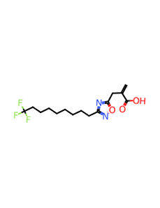 C=C(Cc1nc(CCCCCCCCC(F)(F)F)no1)C(=O)O